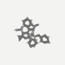 Cn1cc([C@@H]2[C@@H]([N+](=O)[O-])C3(CC3)C[C@]2(C(=O)OCc2ccccc2)c2ccccc2)c2ccccc21